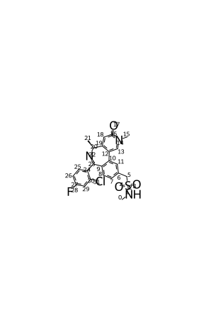 CNS(=O)(=O)Cc1ccc2c(c1)-c1cn(C)c(=O)cc1[C@H](C)N=C2c1ccc(F)cc1Cl